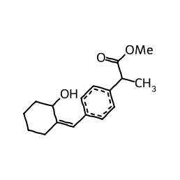 COC(=O)C(C)c1ccc(/C=C2/CCCCC2O)cc1